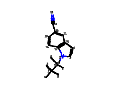 CC(C)(C)[Si](C)(C)n1ccc2cc(C#N)ccc21